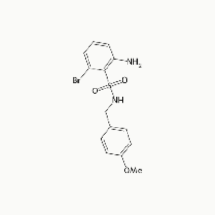 COc1ccc(CNS(=O)(=O)c2c(N)cccc2Br)cc1